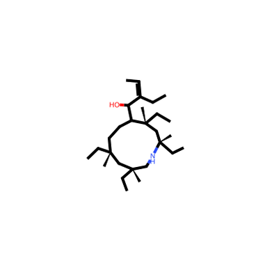 C/C=C(/CC)C(O)C1CC[C@@](C)(CC)C[C@@](C)(CC)CN[C@@](C)(CC)C[C@@]1(C)CC